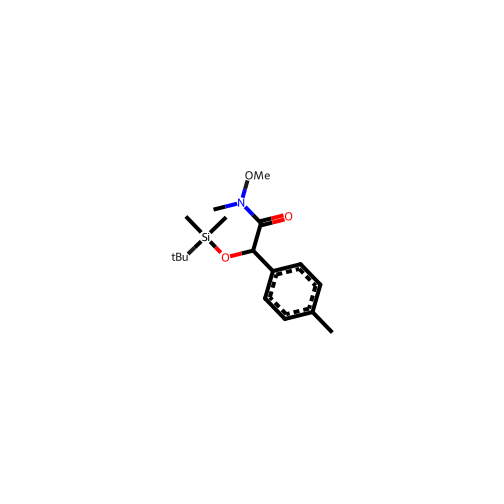 CON(C)C(=O)C(O[Si](C)(C)C(C)(C)C)c1ccc(C)cc1